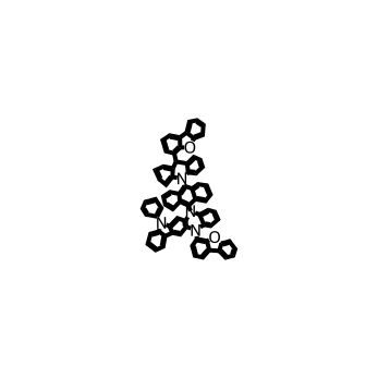 c1ccc(-n2c3ccccc3c3cc4c(cc32)N(c2c3ccccc3c(N3c5ccccc5C(c5cccc6c5oc5ccccc56)c5ccccc53)c3ccccc23)c2ccccc2N4c2cccc3c2oc2ccccc23)cc1